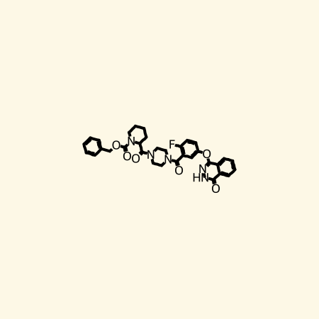 O=C(c1cc(Oc2n[nH]c(=O)c3ccccc23)ccc1F)N1CCN(C(=O)C2CCCCN2C(=O)OCc2ccccc2)CC1